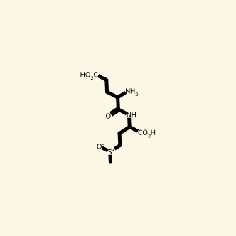 C[S+]([O-])CCC(NC(=O)C(N)CCC(=O)O)C(=O)O